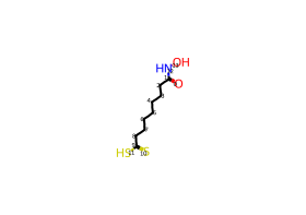 O=C(CCCCCCCC(=S)S)NO